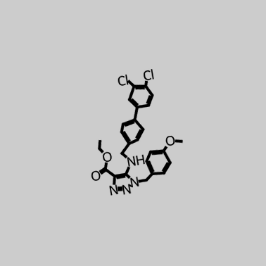 CCOC(=O)c1nnn(Cc2ccc(OC)cc2)c1NCc1ccc(-c2ccc(Cl)c(Cl)c2)cc1